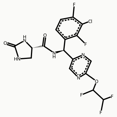 O=C1NC[C@@H](C(=O)N[C@H](c2cnc(OC(F)C(F)F)cn2)c2ccc(F)c(Cl)c2F)N1